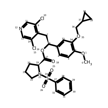 COc1ccc([C@H](Cc2c(Cl)cncc2Cl)OC(=O)[C@@H]2CCCN2S(=O)(=O)c2ccccc2)cc1OCC1CC1